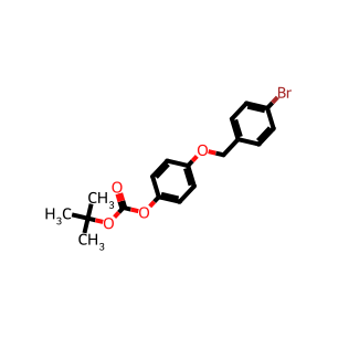 CC(C)(C)OC(=O)Oc1ccc(OCc2ccc(Br)cc2)cc1